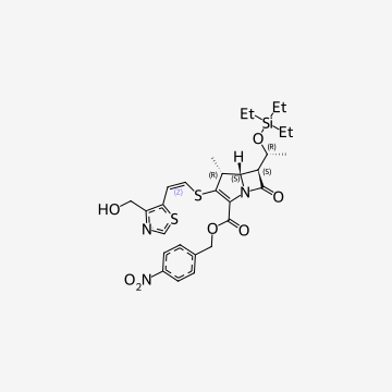 CC[Si](CC)(CC)O[C@H](C)[C@H]1C(=O)N2C(C(=O)OCc3ccc([N+](=O)[O-])cc3)=C(S/C=C\c3scnc3CO)[C@H](C)[C@H]12